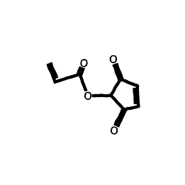 C=CC(=O)OC1C(=O)C=CC1=O